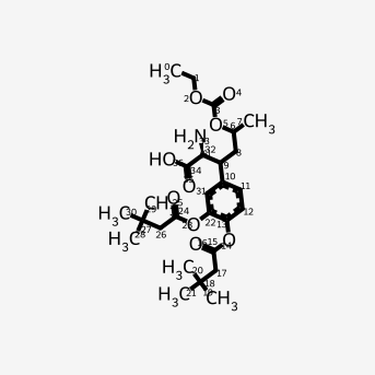 CCOC(=O)OC(C)CC(c1ccc(OC(=O)CC(C)(C)C)c(OC(=O)CC(C)(C)C)c1)[C@H](N)C(=O)O